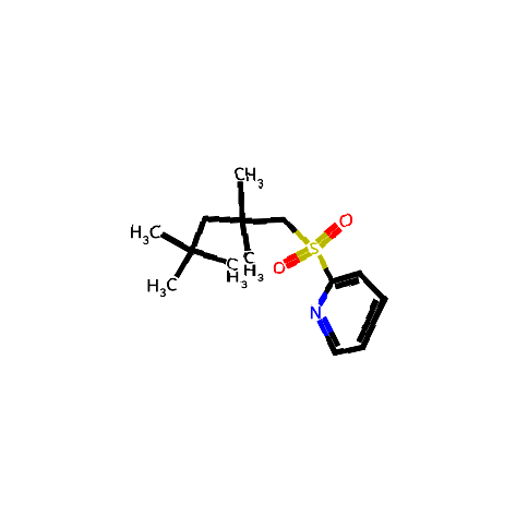 CC(C)(C)CC(C)(C)CS(=O)(=O)c1ccccn1